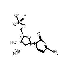 Nc1ccn([C@H]2C[C@H](O)[C@@H](COP(=O)([O-])[O-])O2)c(=O)n1.[Na+].[Na+]